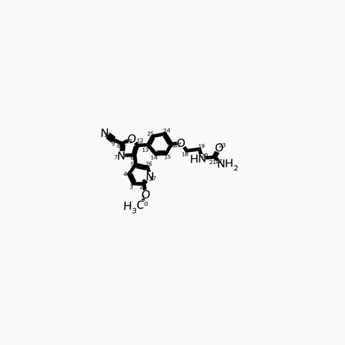 COc1ccc(-c2nc(C#N)oc2-c2ccc(OCCNC(N)=O)cc2)cn1